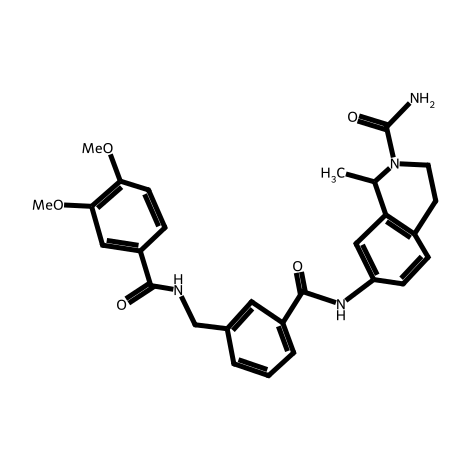 COc1ccc(C(=O)NCc2cccc(C(=O)Nc3ccc4c(c3)C(C)N(C(N)=O)CC4)c2)cc1OC